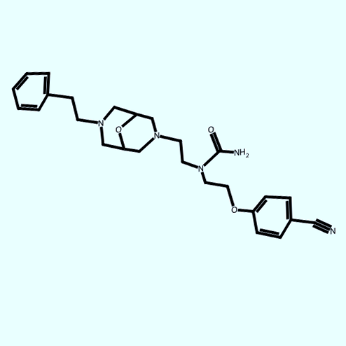 N#Cc1ccc(OCCN(CCN2CC3CN(CCc4ccccc4)CC(C2)O3)C(N)=O)cc1